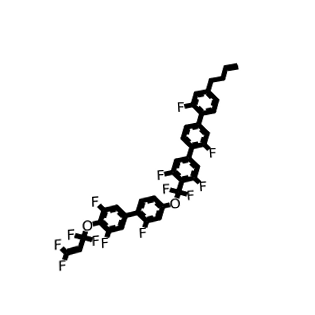 C=CCCc1ccc(-c2ccc(-c3cc(F)c(C(F)(F)Oc4ccc(-c5cc(F)c(OC(F)(F)C=C(F)F)c(F)c5)c(F)c4)c(F)c3)c(F)c2)c(F)c1